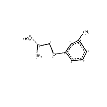 Cc1cccc(OC[C@H](N)C(=O)O)c1